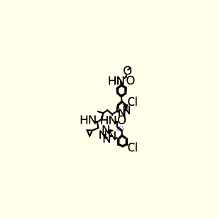 COC(=O)Nc1ccc(-c2cc(C(CC(C)CC(=N)CC3CC3)NC(=O)/C=C/c3cc(Cl)ccc3-n3cnnn3)nnc2Cl)cc1